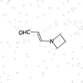 O=CC=CN1CCC1